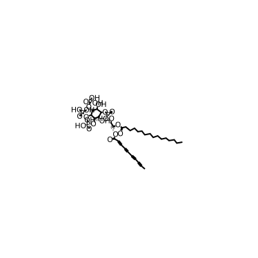 CC#CC#CC#CC#CC(=O)OC[C@H](COP(=O)(O)OC1C(O)[C@@H](OP(=O)(O)O)C(OP(=O)(O)O)[C@H](OP(=O)(O)O)C1O)OC(=O)CCCCCCCCCCCCCCC